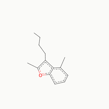 CCCCc1c(C)oc2cccc(C)c12